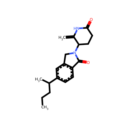 C=C1NC(=O)CCC1N1Cc2cc(C(C)CCC)ccc2C1=O